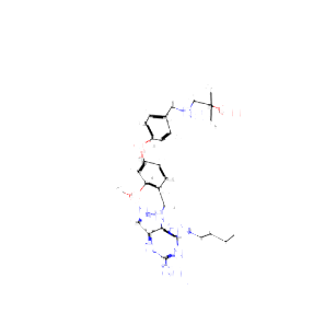 CCCCNc1nc(N)nc2cnn(Cc3ccc(Oc4ccc(CNCC(C)(C)O)cc4)cc3OC)c12